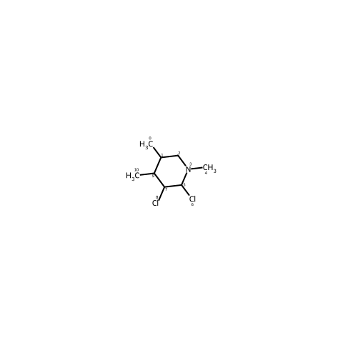 CC1CN(C)C(Cl)C(Cl)C1C